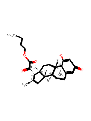 CCCCOC(=O)C(=O)[C@H]1[C@H](C)C[C@H]2[C@@H]3CCC4=CC(=O)C=C(O)[C@]4(C)[C@H]3CC[C@@]21C